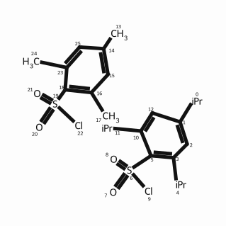 CC(C)c1cc(C(C)C)c(S(=O)(=O)Cl)c(C(C)C)c1.Cc1cc(C)c(S(=O)(=O)Cl)c(C)c1